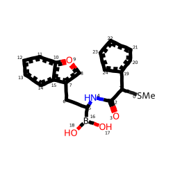 CSC(C(=O)NC(Cc1coc2ccccc12)B(O)O)c1ccccc1